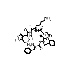 CC(C)C[C@@H](NC(=O)[C@@H](Cc1ccccc1)NC(=O)[C@H](N)Cc1ccccc1)C(=O)N[C@H](CCCCN)C(=O)NC(=O)C1NCCc2[nH]ncc21